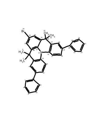 CC1(C)c2cc(-c3ccccc3)ccc2N2c3ccc(-c4ccccc4)cc3C(C)(C)c3cc(Br)cc1c32